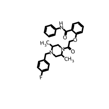 CC1CN(C(=O)COc2ccccc2C(=O)Nc2ccccc2)C(C)CN1Cc1ccc(F)cc1